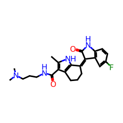 Cc1[nH]c2c(c1C(=O)NCCCN(C)C)CCC/C2=C1/C(=O)Nc2ccc(F)cc21